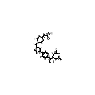 CC1CN(C(=N)c2ccc(C3=NOC(CN4CCC(CC(=O)O)CC4)C3)cc2)CC(C)O1